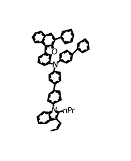 C/C=C\c1c(CCC)n(-c2ccc(-c3ccc(N(c4ccc(-c5ccccc5)cc4)c4cccc5c4oc4c(-c6ccccc6)cc6ccccc6c45)cc3)cc2)c2ccccc12